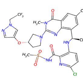 Cc1cc([C@@H](C)Nc2ccc(Cl)nc2C(=O)NS(C)(=O)=O)c2nc(N3CC[C@H](Oc4cnn(CC(F)(F)F)c4)C3)n(C)c(=O)c2c1